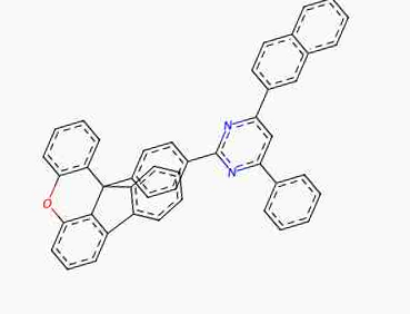 c1ccc(-c2cc(-c3ccc4ccccc4c3)nc(-c3ccc(C45c6ccccc6Oc6cccc(c64)-c4ccccc45)cc3)n2)cc1